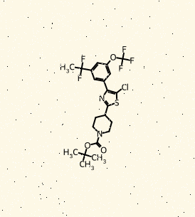 CC(C)(C)OC(=O)N1CCC(c2nc(-c3cc(OC(F)(F)F)cc(C(C)(F)F)c3)c(Cl)s2)CC1